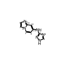 c1cn2ccc(Nc3nc[nH]n3)cc2n1